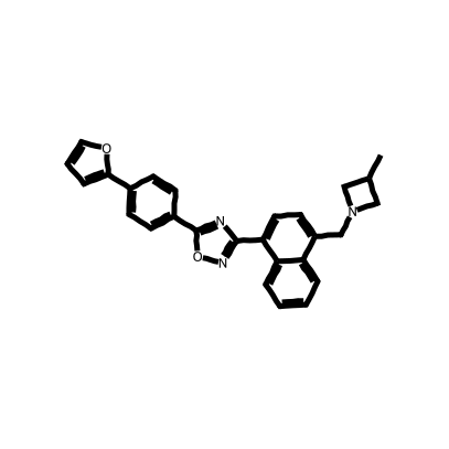 CC1CN(Cc2ccc(-c3noc(-c4ccc(-c5ccco5)cc4)n3)c3ccccc23)C1